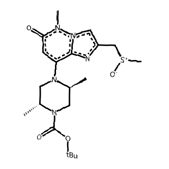 C[C@@H]1CN(c2cc(=O)n(C)n3cc(C[S+](C)[O-])nc23)[C@@H](C)CN1C(=O)OC(C)(C)C